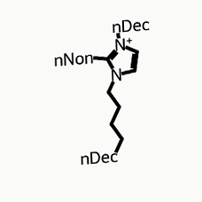 CCCCCCCCCCCCCCn1cc[n+](CCCCCCCCCC)c1CCCCCCCCC